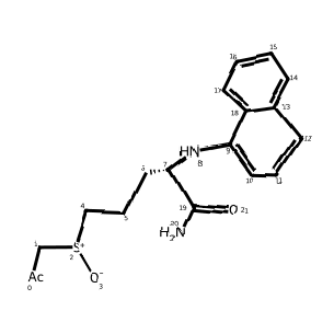 CC(=O)C[S+]([O-])CCC[C@H](Nc1cccc2ccccc12)C(N)=O